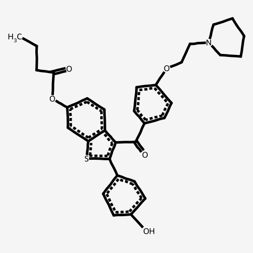 CCCC(=O)Oc1ccc2c(C(=O)c3ccc(OCCN4CCCCC4)cc3)c(-c3ccc(O)cc3)sc2c1